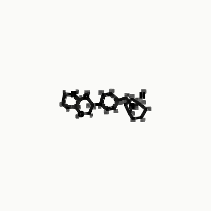 c1cnc2c(c1)OC[C@H](c1ccc(CN3C4CCC[C@@H]3CC4)cc1)O2